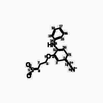 [N-]=[N+]=C1C=C(OCCC=S(=O)=O)C(Nc2ccccc2)=CC1